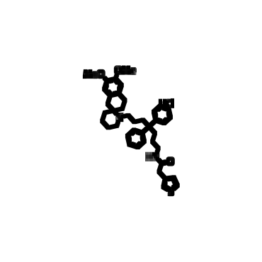 COc1cc2c(cc1OC)CC1(CCCCN1CCCC(CCCNC(=O)Cc1ccsc1)(c1ccccc1)c1ccccc1)CC2.Cl